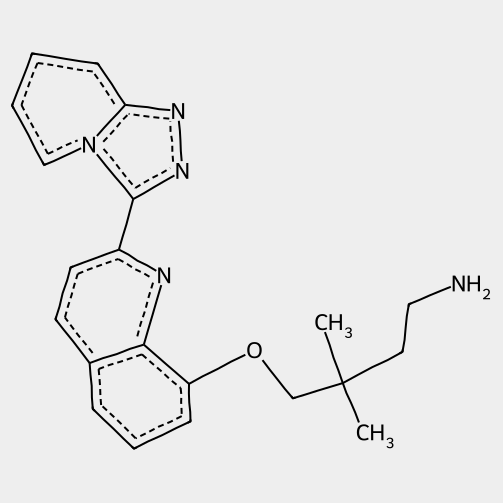 CC(C)(CCN)COc1cccc2ccc(-c3nnc4ccccn34)nc12